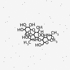 CC(=O)NC1C(C)OC(CO)C(OC2OC(CO)C(OC3OC(CO)C(O)C(O)C3O)C(O)C2NC(C)=O)C1O